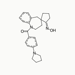 O=C(c1ccc(N2CCCC2)cc1)N1CCC2(CCCC2=NO)Cc2ccccc21